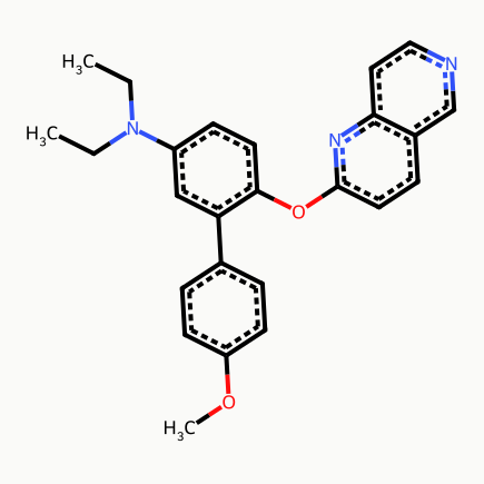 CCN(CC)c1ccc(Oc2ccc3cnccc3n2)c(-c2ccc(OC)cc2)c1